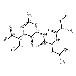 CC(C)C[C@H](NC(=O)[C@@H](N)CO)C(=O)N[C@@H](CC(N)=O)C(=O)N[C@@H](CS)C(=O)O